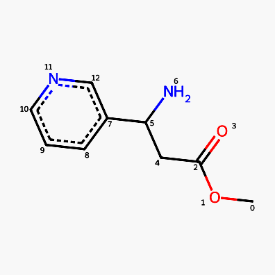 COC(=O)CC(N)c1cccnc1